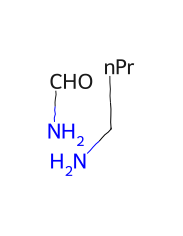 CCCCN.NC=O